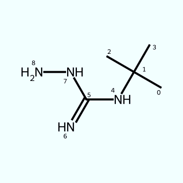 CC(C)(C)NC(=N)NN